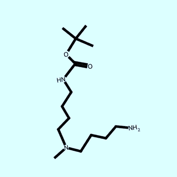 CN(CCCCN)CCCCNC(=O)OC(C)(C)C